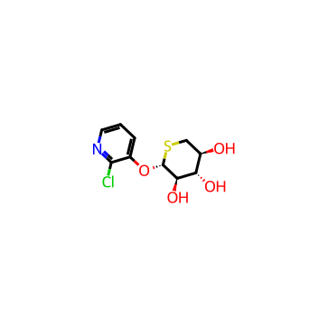 O[C@@H]1[C@@H](O)[C@H](Oc2cccnc2Cl)SC[C@H]1O